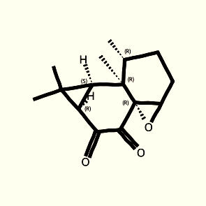 C[C@@H]1CCC2O[C@@]23C(=O)C(=O)[C@@H]2[C@@H](C2(C)C)[C@@]13C